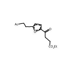 CCOC(=O)CCC(=O)c1ccc(CCC(C)=O)o1